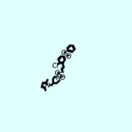 Cc1ccc(C)n1CC1CCN(S(=O)(=O)CC=Cc2cc(S(=O)(=O)c3ccccc3)ccc2Cl)CC1